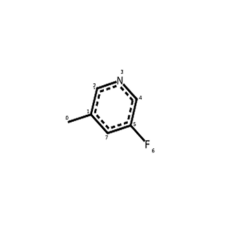 Cc1[c]ncc(F)c1